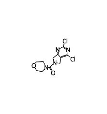 O=C(N1CCOCC1)N1Cc2nc(Cl)nc(Cl)c2C1